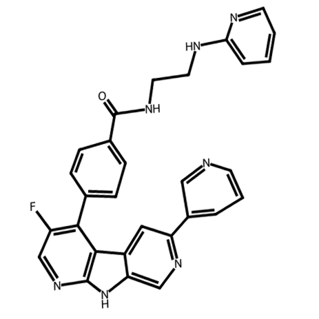 O=C(NCCNc1ccccn1)c1ccc(-c2c(F)cnc3[nH]c4cnc(-c5cccnc5)cc4c23)cc1